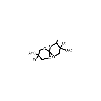 CCC1(OC(C)=O)COC2(OC1)OCC(CC)(OC(C)=O)C(C)O2